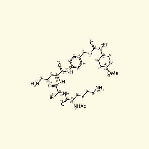 CCN(C(=O)OCc1ccc(NC(=O)[C@H](CCCN)NC(=O)C(NC(=O)[C@H](CCCCN)NC(C)=O)C(C)C)cc1)[C@@H]1CC[C@H](OC)OC1